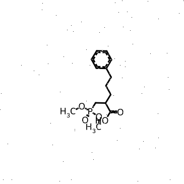 COP(=O)(CC(CCCc1ccccc1)C(=O)O)OC